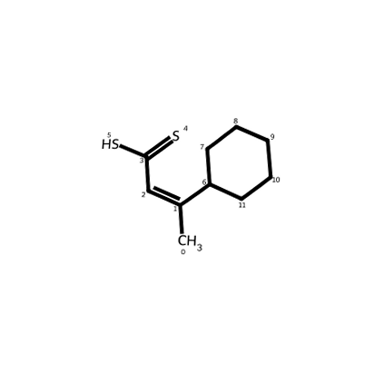 C/C(=C/C(=S)S)C1CCCCC1